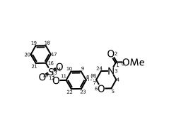 COC(=O)N1CCO[C@H](c2ccc(OS(=O)(=O)c3ccccc3)cc2)C1